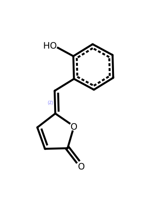 O=C1C=C/C(=C/c2ccccc2O)O1